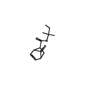 CCC(C)(C)OC(=O)C1CC2C=CC1C2=O